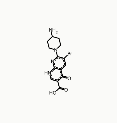 NC1CCN(c2nc3[nH]cc(C(=O)O)c(=O)c3cc2Br)CC1